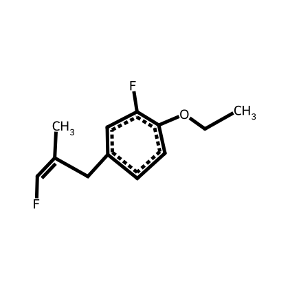 CCOc1ccc(C/C(C)=C\F)cc1F